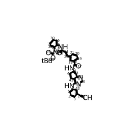 C#Cc1cccc(Nc2ncnc3cc(NC(=O)c4cccc(/C=C/C(=O)Nc5ccccc5NC(=O)OC(C)(C)C)c4)ccc23)c1